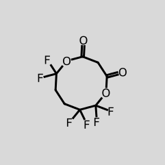 O=C1CC(=O)OC(F)(F)C(F)(F)CCC(F)(F)O1